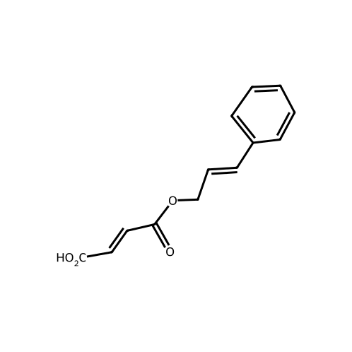 O=C(O)C=CC(=O)OCC=Cc1ccccc1